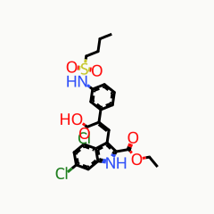 CCCCS(=O)(=O)Nc1cccc(C(=Cc2c(C(=O)OCC)[nH]c3cc(Cl)cc(Cl)c23)C(=O)O)c1